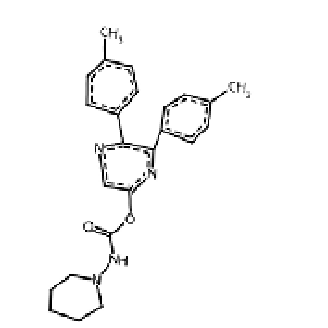 Cc1ccc(-c2ncc(OC(=O)NN3CCCCC3)nc2-c2ccc(C)cc2)cc1